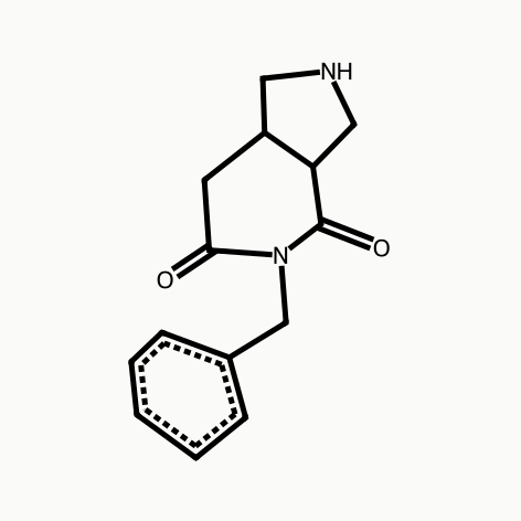 O=C1CC2CNCC2C(=O)N1Cc1ccccc1